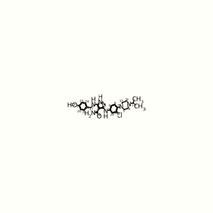 CC(C)N1CCN(c2ccc(Nc3n[nH]c(NCc4ccc(O)cc4)c3C(N)=O)cc2Cl)CC1